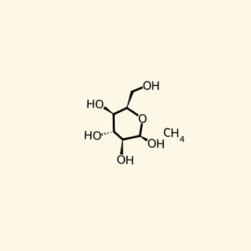 C.OC[C@H]1O[C@@H](O)[C@@H](O)[C@H](O)[C@H]1O